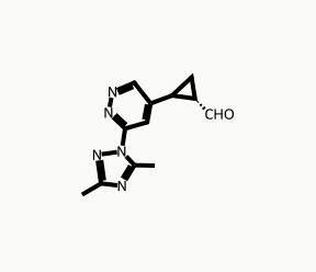 Cc1nc(C)n(-c2cc(C3C[C@@H]3C=O)cnn2)n1